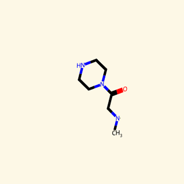 C[N]CC(=O)N1CCNCC1